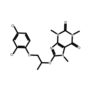 CC(COc1ccc(Cl)cc1Cl)Oc1nc2c(c(=O)n(C)c(=O)n2C)n1C